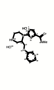 CNC(=O)c1csc(N2CCNCC2COc2cccnc2)n1.Cl.Cl